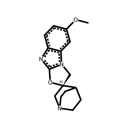 COc1ccc2nc3n(c2c1)C[C@@]1(CN2CCC1CC2)O3